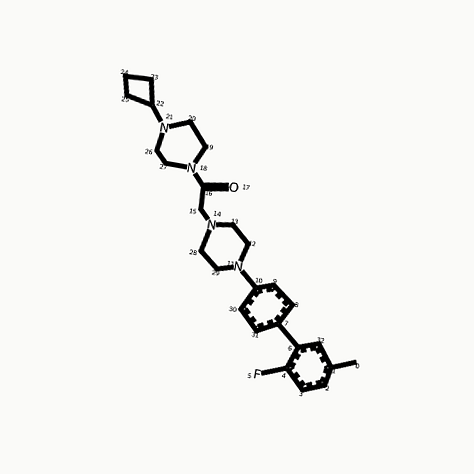 Cc1ccc(F)c(-c2ccc(N3CCN(CC(=O)N4CCN(C5CCC5)CC4)CC3)cc2)c1